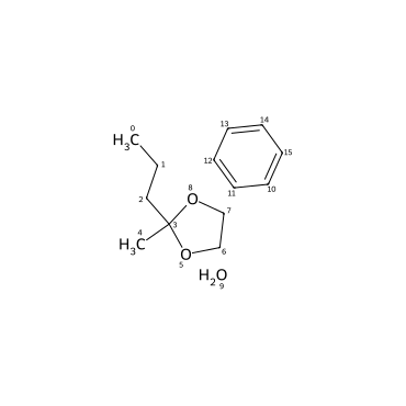 CCCC1(C)OCCO1.O.c1ccccc1